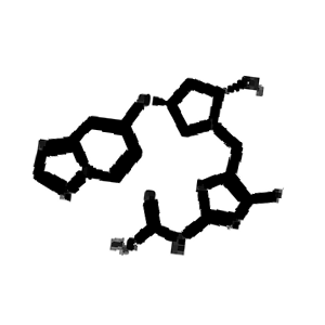 CC(=O)Nc1nc(F)c(CN2C[C@H](Oc3ccn4ncnc4c3)C[C@@H]2C)s1